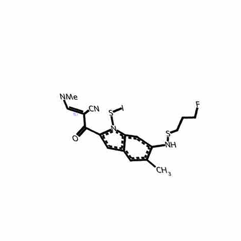 CN/C=C(\C#N)C(=O)c1cc2cc(C)c(NSCCCF)cc2n1SI